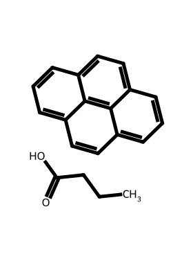 CCCC(=O)O.c1cc2ccc3cccc4ccc(c1)c2c34